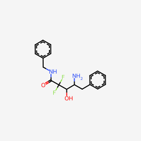 NC(Cc1ccccc1)C(O)C(F)(F)C(=O)NCc1ccccc1